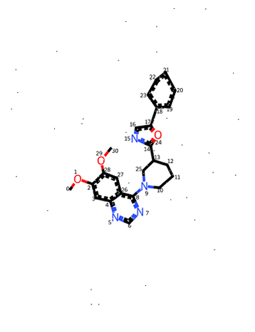 COc1cc2ncnc(N3CCCC(c4ncc(-c5ccccc5)o4)C3)c2cc1OC